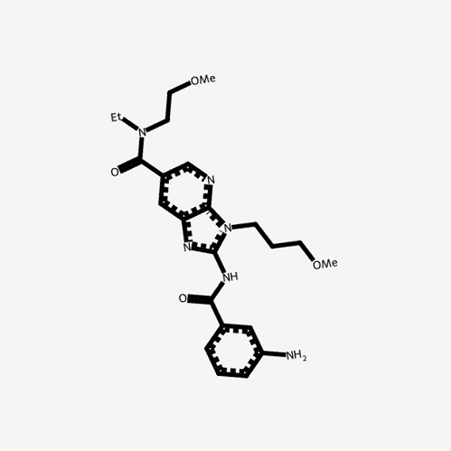 CCN(CCOC)C(=O)c1cnc2c(c1)nc(NC(=O)c1cccc(N)c1)n2CCCOC